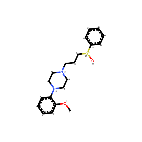 COc1ccccc1N1CCN(CCC[S+]([O-])c2ccccc2)CC1